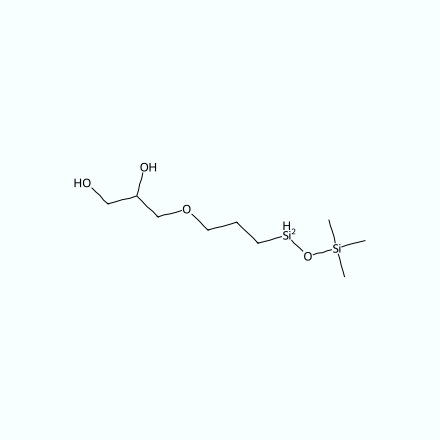 C[Si](C)(C)O[SiH2]CCCOCC(O)CO